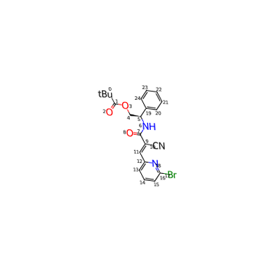 CC(C)(C)C(=O)OC[C@H](NC(=O)/C(C#N)=C/c1cccc(Br)n1)c1ccccc1